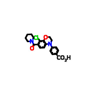 O=C(O)c1ccc(N2CCOc3c2ccc(C(=O)N2CCCCC2)c3Cl)cc1